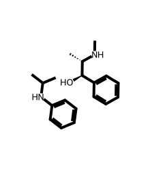 CC(C)Nc1ccccc1.CN[C@@H](C)[C@H](O)c1ccccc1